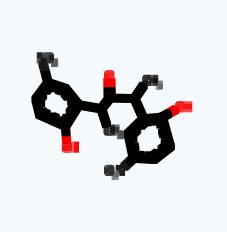 CC(C(=O)C(C)c1cc([N+](=O)[O-])ccc1O)c1cc([N+](=O)[O-])ccc1O